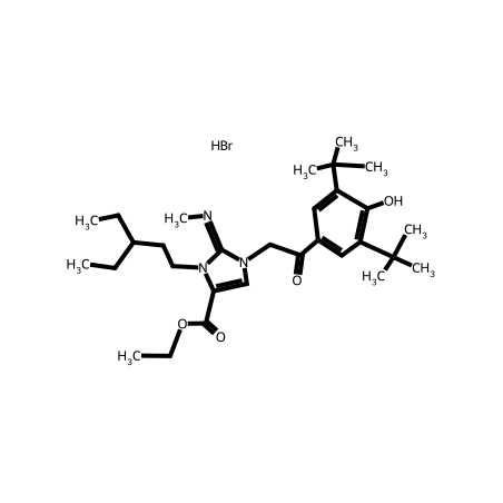 Br.CCOC(=O)c1cn(CC(=O)c2cc(C(C)(C)C)c(O)c(C(C)(C)C)c2)c(=NC)n1CCC(CC)CC